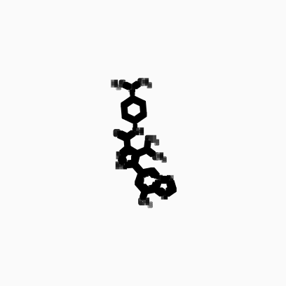 Cc1cc(-c2[nH]nc(C(=O)N[C@H]3CC[C@H](N(C)C)CC3)c2C(C)C)cn2ncnc12